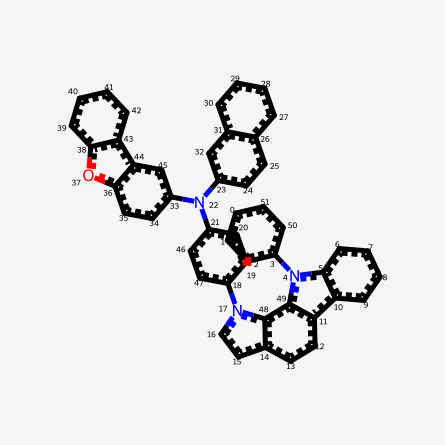 c1ccc(-n2c3ccccc3c3ccc4ccn(-c5ccc(N(c6ccc7ccccc7c6)c6ccc7oc8ccccc8c7c6)cc5)c4c32)cc1